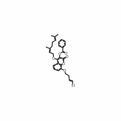 CCC=CCCOc1cccc2c(OCC=C(C)CCC=C(C)C)c(OC(=O)c3ccccc3)c(=O)oc12